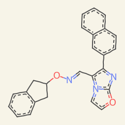 C(=NOC1Cc2ccccc2C1)c1c(-c2ccc3ccccc3c2)nc2occn12